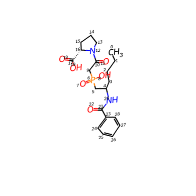 CCCCC(CP(=O)(O)CC(=O)N1CCC[C@H]1C(=O)O)NC(=O)c1ccccc1